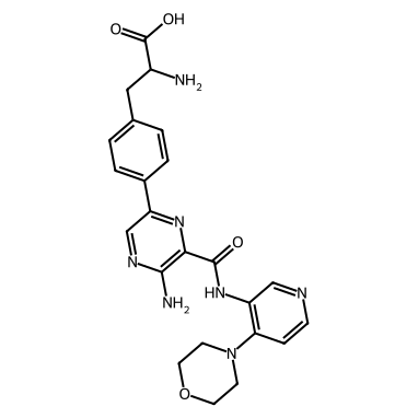 Nc1ncc(-c2ccc(CC(N)C(=O)O)cc2)nc1C(=O)Nc1cnccc1N1CCOCC1